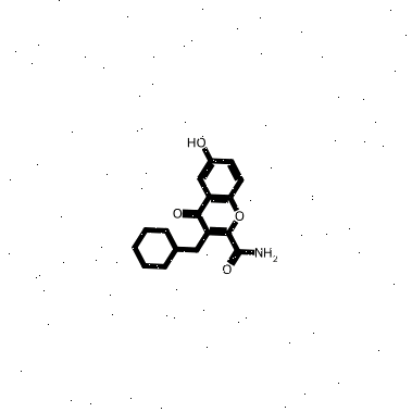 NC(=O)c1oc2ccc(O)cc2c(=O)c1CC1CCCCC1